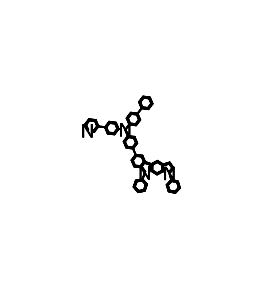 c1ccc(-c2ccc(N(c3ccc(-c4cccnc4)cc3)c3ccc(-c4ccc5c(c4)c4cc6ccn(-c7ccccc7)c6cc4n5-c4ccccc4)cc3)cc2)cc1